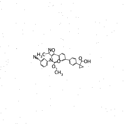 CCOC(=O)N(c1cccc(C#N)c1)c1c(C)noc1-c1ccc(-c2ccc(C3(C(=O)O)CC3)cc2)cc1